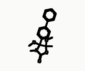 COC1(C)OC(=O)N(C)C1(OC)c1ccc(-c2ccccc2)cc1